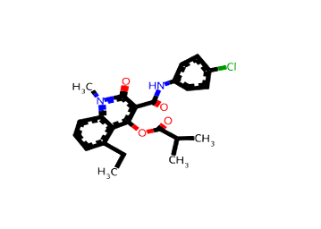 CCc1cccc2c1c(OC(=O)C(C)C)c(C(=O)Nc1ccc(Cl)cc1)c(=O)n2C